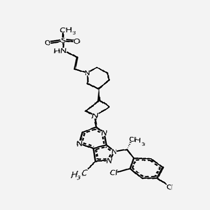 Cc1nn([C@H](C)c2ccc(Cl)cc2Cl)c2nc(N3CC([C@@H]4CCCN(CCNS(C)(=O)=O)C4)C3)cnc12